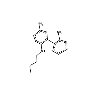 COCCNc1ccc(N)cc1-c1ccccc1N